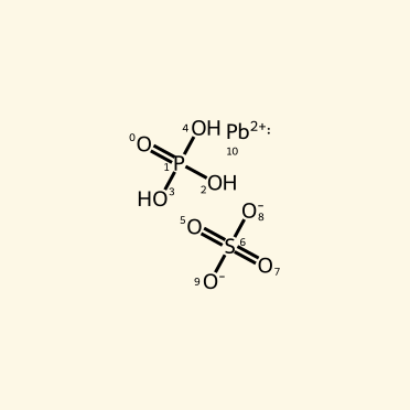 O=P(O)(O)O.O=S(=O)([O-])[O-].[Pb+2]